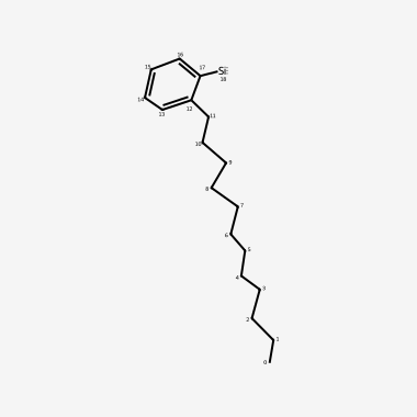 CCCCCCCCCCCCc1ccccc1[Si]